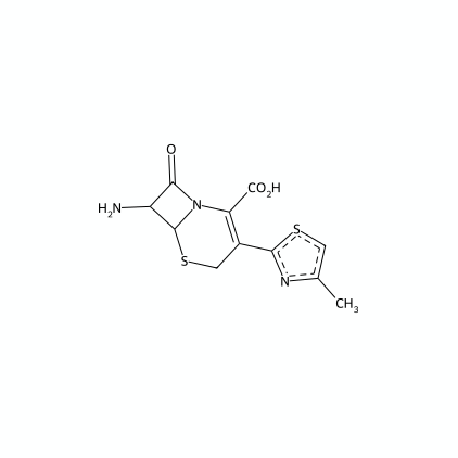 Cc1csc(C2=C(C(=O)O)N3C(=O)C(N)C3SC2)n1